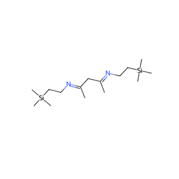 C/C(C/C(C)=N/CC[Si](C)(C)C)=N\CC[Si](C)(C)C